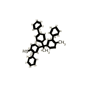 Cc1ccc(C(C)(c2ccc(-c3ccccc3)cc2)c2ccc(S)c(-c3ccccc3)c2)cc1-c1ccccc1